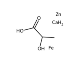 CC(O)C(=O)O.[CaH2].[Fe].[Zn]